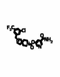 NC(=O)c1cncc(OC(=O)N2CCC3(CCN(Cc4cc(Cl)cc(C(F)(F)F)c4)C3)CC2)c1